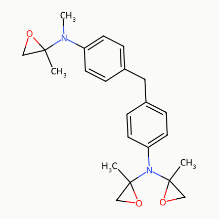 CN(c1ccc(Cc2ccc(N(C3(C)CO3)C3(C)CO3)cc2)cc1)C1(C)CO1